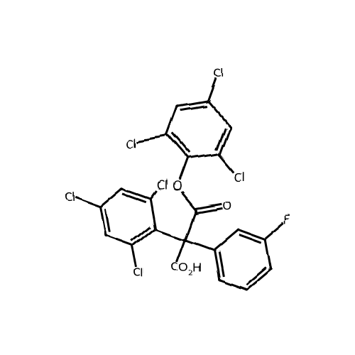 O=C(O)C(C(=O)Oc1c(Cl)cc(Cl)cc1Cl)(c1cccc(F)c1)c1c(Cl)cc(Cl)cc1Cl